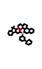 CC1(C)c2ccccc2-c2cc(N(c3cccc(-c4ccccc4)c3)c3cc4ccccc4c4ccc5ccccc5c34)ccc21